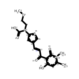 COCCN(C(=O)O)c1cc(/C=C/C(=O)c2c(O)cc(C)n(C)c2=O)cs1